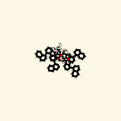 CCC1=Cc2c(-c3cccc4ccccc34)cccc2[CH]1[Zr]([Cl])([Cl])([CH2]C[CH2][Zr]([Cl])([Cl])([SiH2]C)([CH]1C(CC)=Cc2c(-c3cccc4ccccc34)cccc21)[CH]1C(CC)=Cc2c(-c3cccc4ccccc34)cccc21)([SiH2]C)[CH]1C(CC)=Cc2c(-c3cccc4ccccc34)cccc21